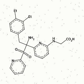 CCc1ccc(CC(N)(c2cccc(NCC(=O)O)n2)S(=O)(=O)c2ccccn2)cc1CC